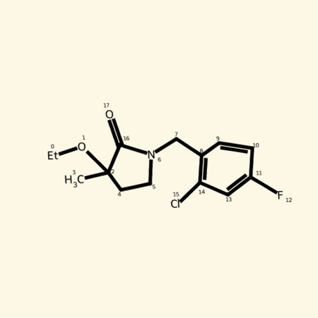 [CH2]COC1(C)CCN(Cc2ccc(F)cc2Cl)C1=O